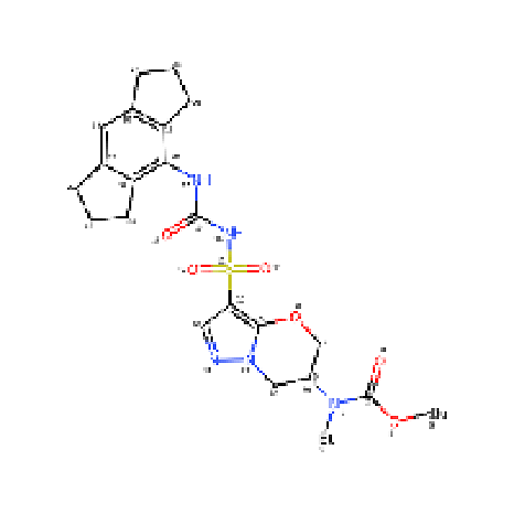 CCN(C(=O)OC(C)(C)C)[C@H]1COc2c(S(=O)(=O)NC(=O)Nc3c4c(cc5c3CCC5)CCC4)cnn2C1